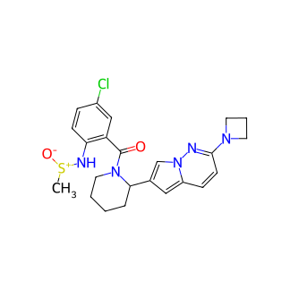 C[S+]([O-])Nc1ccc(Cl)cc1C(=O)N1CCCCC1c1cc2ccc(N3CCC3)nn2c1